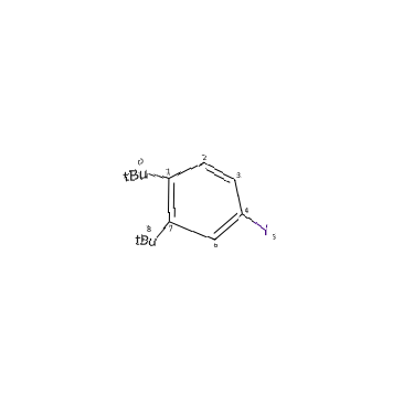 CC(C)(C)c1ccc(I)cc1C(C)(C)C